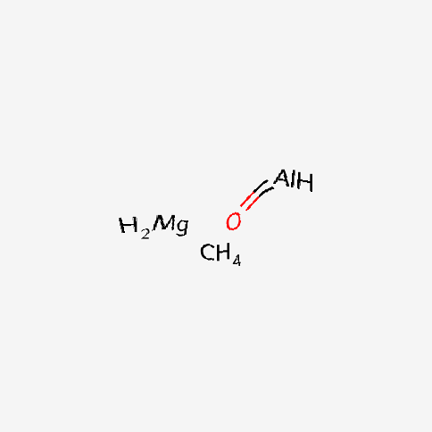 C.[MgH2].[O]=[AlH]